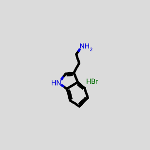 Br.NCCc1c[nH]c2ccccc12